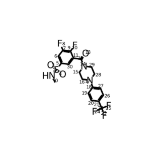 CNS(=O)(=O)c1cc(F)c(F)c(C(=O)N2CCN(c3ccc(C(F)(F)F)cc3)CC2)c1